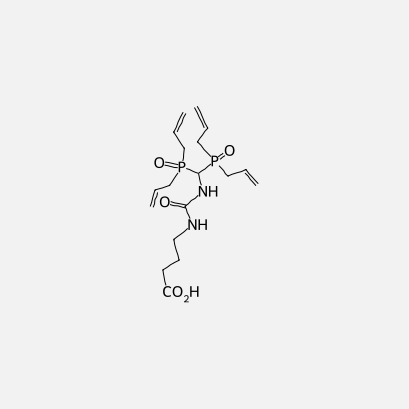 C=CCP(=O)(CC=C)C(NC(=O)NCCCC(=O)O)P(=O)(CC=C)CC=C